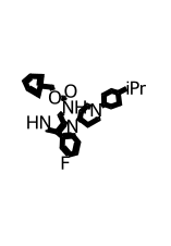 CC(C)C1CCC(N2CCC(n3c(CNC(=O)OCc4ccccc4)c(C=N)c4cc(F)ccc43)CC2)CC1